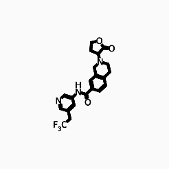 O=C(Nc1cncc(CC(F)(F)F)c1)c1ccc2c(c1)CN(C1CCOC1=O)CC2